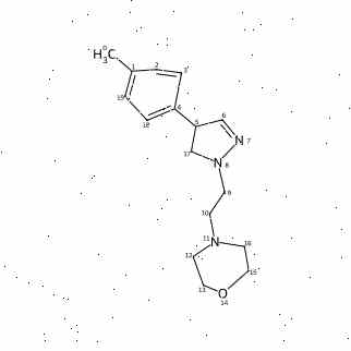 Cc1ccc(C2C=NN(CCN3CCOCC3)C2)cc1